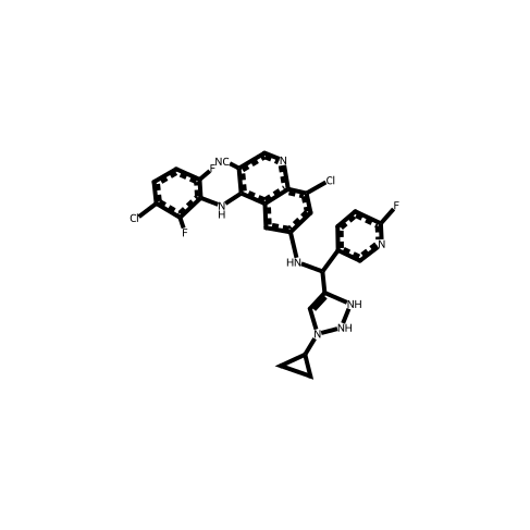 N#Cc1cnc2c(Cl)cc(NC(C3=CN(C4CC4)NN3)c3ccc(F)nc3)cc2c1Nc1c(F)ccc(Cl)c1F